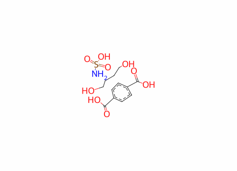 NS(=O)(=O)O.O=C(O)c1ccc(C(=O)O)cc1.OCCCCO